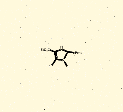 CCCCCC1NC(C(=O)OCC)=C(C)N1C